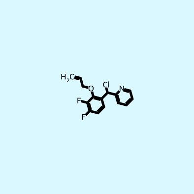 C=CCOc1c(C(Cl)c2ccccn2)ccc(F)c1F